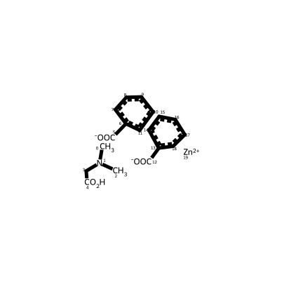 CN(C)CC(=O)O.O=C([O-])c1ccccc1.O=C([O-])c1ccccc1.[Zn+2]